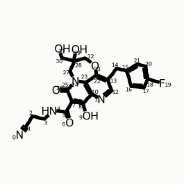 N#CCCNC(=O)c1c(O)c2ncc(Cc3ccc(F)cc3)c3c2n(c1=O)CC(O)(CO)CO3